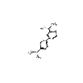 CC(C)c1cnc(-c2ccnc(C(C)C)n2)nc1